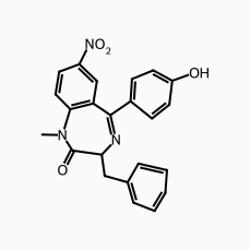 CN1C(=O)C(Cc2ccccc2)N=C(c2ccc(O)cc2)c2cc([N+](=O)[O-])ccc21